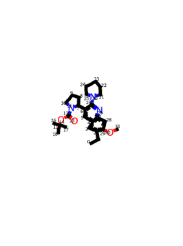 CCc1cc2cc(C3CCCN3C(=O)OC(C)(C)C)c(N3CCCCC3)nc2cc1OC